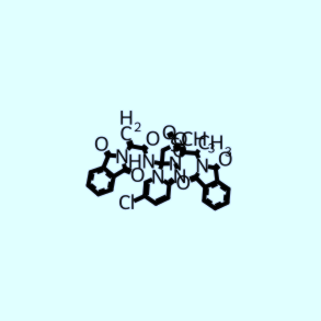 C=C(C(=O)NC1(CS(C)(=O)=O)N2C=C(Cl)C=CC2=NN1C(=O)C(C)N1C(=O)c2ccccc2C1=O)N1C(=O)c2ccccc2C1=O